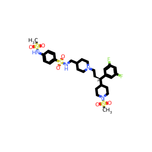 CS(=O)(=O)Nc1ccc(S(=O)(=O)NCC2CCN(CC[C@@H](c3cc(F)cc(F)c3)C3CCN(S(C)(=O)=O)CC3)CC2)cc1